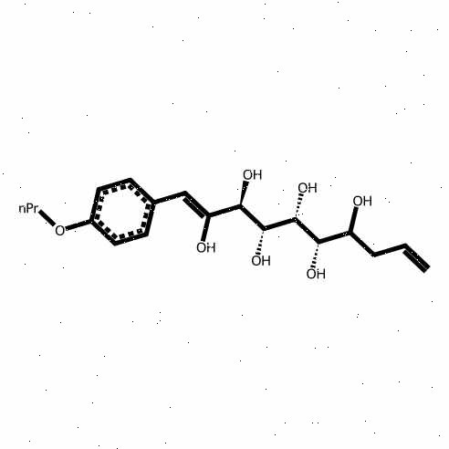 C=CCC(O)[C@H](O)[C@@H](O)[C@H](O)[C@H](O)C(O)=Cc1ccc(OCCC)cc1